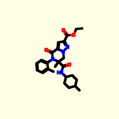 CCOC(=O)c1cc2n(n1)CC(C)(C(=O)NC1CCC(C)CC1)N(c1ccccc1C)C2=O